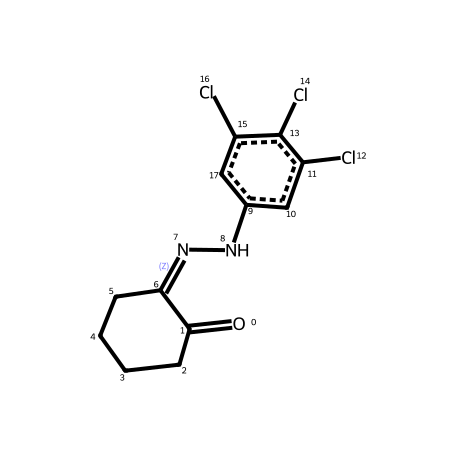 O=C1CCCC/C1=N/Nc1cc(Cl)c(Cl)c(Cl)c1